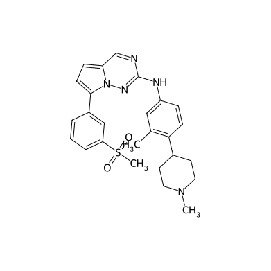 Cc1cc(Nc2ncc3ccc(-c4cccc(S(C)(=O)=O)c4)n3n2)ccc1C1CCN(C)CC1